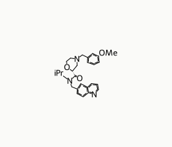 COc1cccc(CN2CCO[C@@H](C(=O)N(Cc3ccc4ncccc4c3)CC(C)C)C2)c1